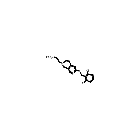 O=C(O)CCN1CCc2cc(OCc3c(Cl)cccc3Cl)ncc2C1